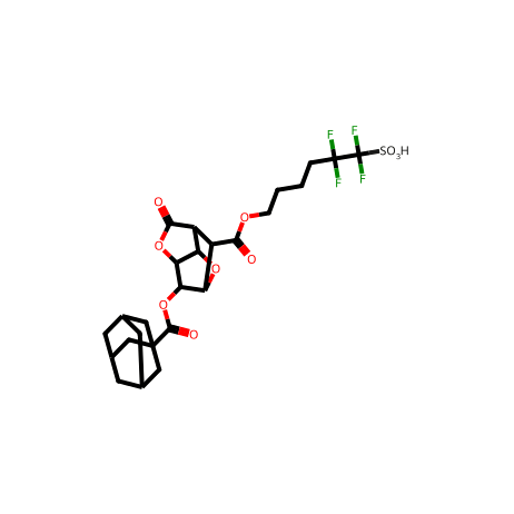 O=C1OC2C(OC(=O)C34CC5CC(CC(C5)C3)C4)C3OC2C1C3C(=O)OCCCCC(F)(F)C(F)(F)S(=O)(=O)O